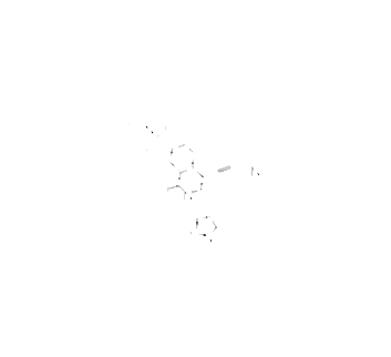 Cc1cc(Cn2cc(C#CCN(C)C)c3ccc(S(=O)(=O)NC4(C)CC4)cc3c2=O)on1